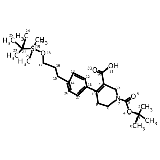 CC(C)(C)OC(=O)N1CCC(c2ccc(CCCO[Si](C)(C)C(C)(C)C)cc2)=C(C(=O)O)C1